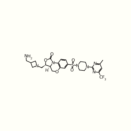 Cc1cc(C(F)(F)F)nc(N2CCN(S(=O)(=O)c3ccc4c(c3)OC[C@H]3[C@@H](CN5CC(CN)C5)OC(=O)N43)CC2)n1